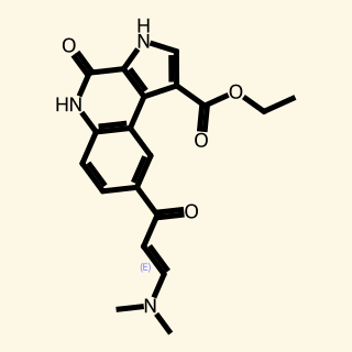 CCOC(=O)c1c[nH]c2c(=O)[nH]c3ccc(C(=O)/C=C/N(C)C)cc3c12